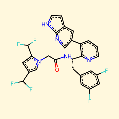 O=C(Cn1cc(C(F)F)cc1C(F)F)N[C@@H](Cc1cc(F)cc(F)c1)c1ncccc1-c1cnc2[nH]ccc2c1